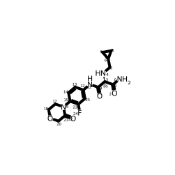 NC(=O)[C@@H](NCC1CC1)C(=O)Nc1ccc(N2CCOCC2=O)c(F)c1